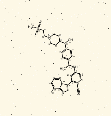 C[C@H](Nc1ncc(C#N)c(-c2cnc3c(Cl)cccn23)n1)c1ccc(C(O)C2CCN(CCS(C)(=O)=O)CC2)cc1